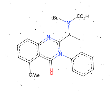 COc1cccc2nc(C(C)N(C(=O)O)C(C)(C)C)n(-c3ccccc3)c(=O)c12